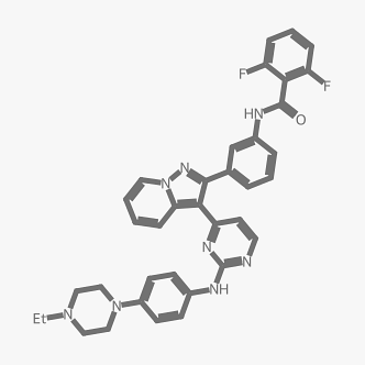 CCN1CCN(c2ccc(Nc3nccc(-c4c(-c5cccc(NC(=O)c6c(F)cccc6F)c5)nn5ccccc45)n3)cc2)CC1